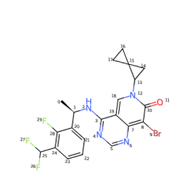 C[C@@H](Nc1ncnc2c(Br)c(=O)n(C3CC34CC4)cc12)c1cccc(C(F)F)c1F